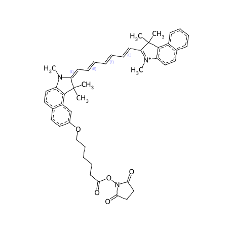 CN1/C(=C/C=C/C=C/C=C/C2=[N+](C)c3ccc4ccccc4c3C2(C)C)C(C)(C)c2c1ccc1ccc(OCCCCCC(=O)ON3C(=O)CCC3=O)cc21